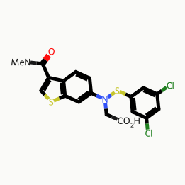 CNC(=O)c1csc2cc(N(CC(=O)O)Sc3cc(Cl)cc(Cl)c3)ccc12